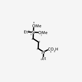 CCN(CCC[Si](CC)(OC)OC)C(=O)O